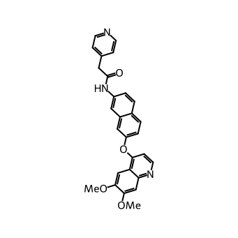 COc1cc2nccc(Oc3ccc4ccc(NC(=O)Cc5ccncc5)cc4c3)c2cc1OC